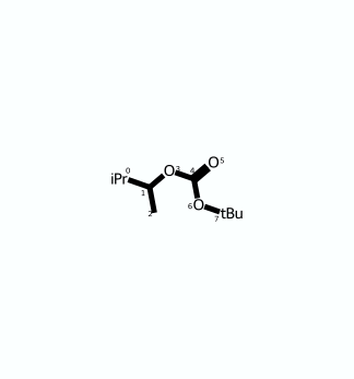 CC(C)C(C)OC(=O)OC(C)(C)C